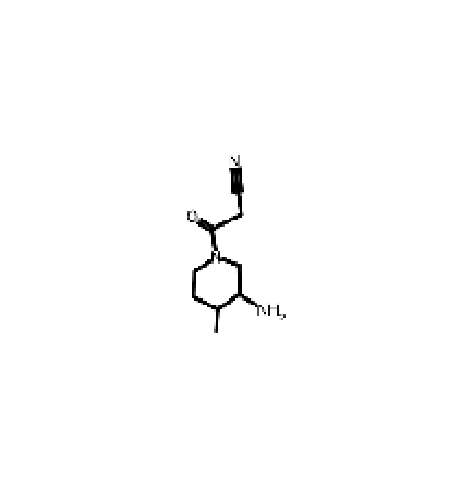 CC1CCN(C(=O)CC#N)CC1N